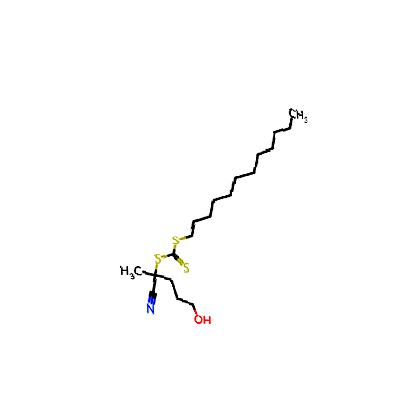 CCCCCCCCCCCCSC(=S)SC(C)(C#N)CCCO